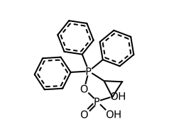 O=P(O)(O)OP(c1ccccc1)(c1ccccc1)(c1ccccc1)C1CC1